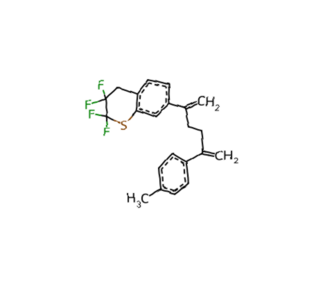 C=C(CCC(=C)c1ccc2c(c1)SC(F)(F)C(F)(F)C2)c1ccc(C)cc1